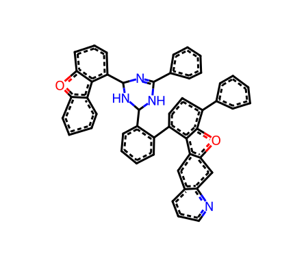 c1ccc(C2=NC(c3cccc4oc5ccccc5c34)NC(c3ccccc3-c3ccc(-c4ccccc4)c4oc5cc6ncccc6cc5c34)N2)cc1